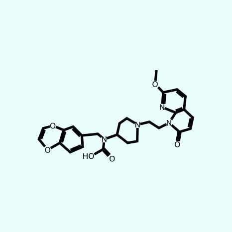 COc1ccc2ccc(=O)n(CCN3CCC(N(Cc4ccc5c(c4)OC=CO5)C(=O)O)CC3)c2n1